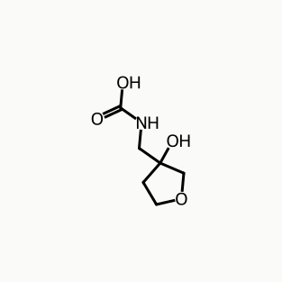 O=C(O)NCC1(O)CCOC1